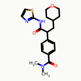 CN(C)C(=O)c1ccc(C(CC2CCOCC2)C(=O)Nc2nccs2)cc1